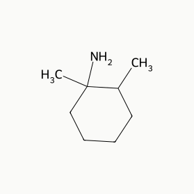 CC1CCCCC1(C)N